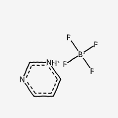 F[B-](F)(F)F.c1cnc[nH+]c1